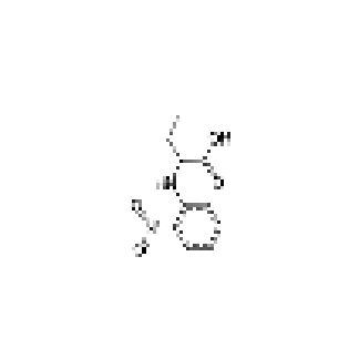 CCC(Nc1ccccc1[N+](=O)[O-])C(=O)O